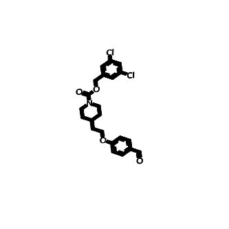 O=Cc1ccc(OCCC2CCN(C(=O)OCc3cc(Cl)cc(Cl)c3)CC2)cc1